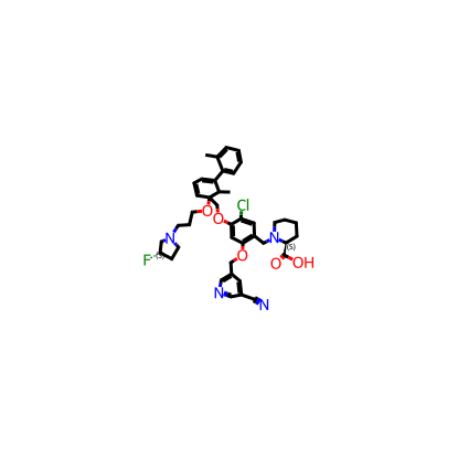 Cc1ccccc1C1=CC=CC(COc2cc(OCc3cncc(C#N)c3)c(CN3CCCC[C@H]3C(=O)O)cc2Cl)(OCCCN2CC[C@H](F)C2)C1C